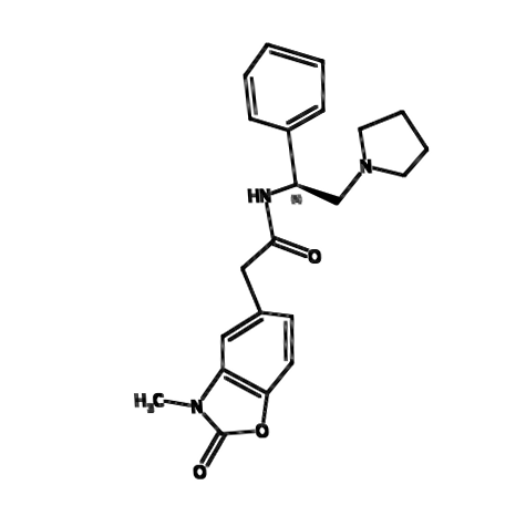 Cn1c(=O)oc2ccc(CC(=O)N[C@H](CN3CCCC3)c3ccccc3)cc21